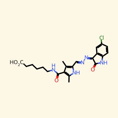 Cc1[nH]c(C=NN=C2C(=O)Nc3ccc(Cl)cc32)c(C)c1C(=O)NCCCCCC(=O)O